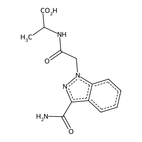 CC(NC(=O)Cn1nc(C(N)=O)c2ccccc21)C(=O)O